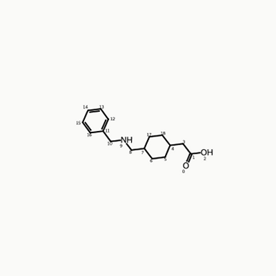 O=C(O)CC1CCC(CNCc2ccccc2)CC1